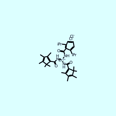 CC1=C(C)C(C)(C)C(C(=O)[NH][Zr+2]([NH]C(=O)C2=C(C)C(C)=C(C)C2(C)C)[NH]C(=O)c2c(C(C)C)cccc2C(C)C)=C1C.[Cl-].[Cl-]